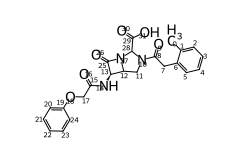 Cc1ccccc1CC(=O)N1CC2[C@@H](NC(=O)COc3ccccc3)C(=O)N2C1C(=O)O